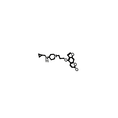 O=c1ccc2c(OCCCN3CCC(NCC4CC4)CC3)c3ccoc3cc2o1